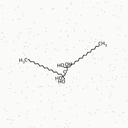 CCCCCCCCCCCCCCCCC(O)(CO)COCC(O)(CO)CCCCCCCCCCCCCCCC